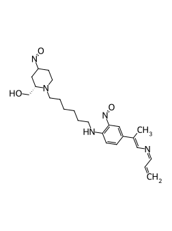 C=C/C=N\C=C(/C)c1ccc(NCCCCCCN2CCC(N=O)C[C@H]2CO)c(N=O)c1